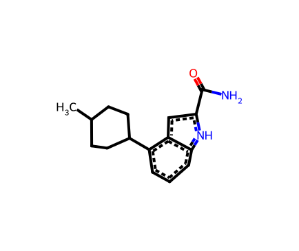 CC1CCC(c2cccc3[nH]c(C(N)=O)cc23)CC1